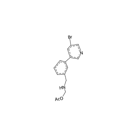 CC(=O)OCNCc1cccc(-c2cncc(Br)c2)c1